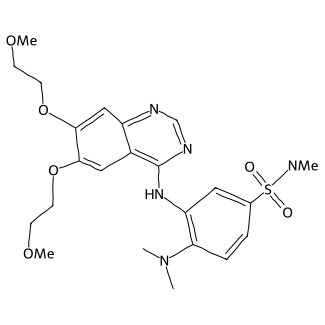 CNS(=O)(=O)c1ccc(N(C)C)c(Nc2ncnc3cc(OCCOC)c(OCCOC)cc23)c1